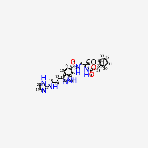 O=C(NC(CNC(=O)c1ccc2c(CCCNc3ncc[nH]3)n[nH]c2c1)C(=O)O)OCc1ccccc1